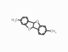 Cc1ccc2c(c1)OC1c3ccc(C)cc3OC21